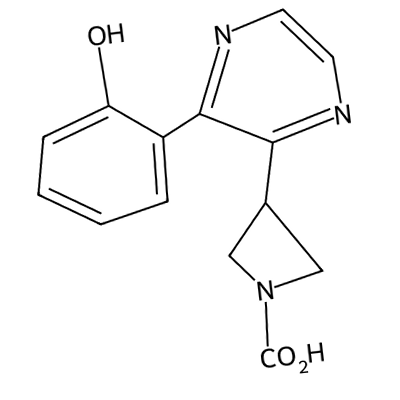 O=C(O)N1CC(c2nccnc2-c2ccccc2O)C1